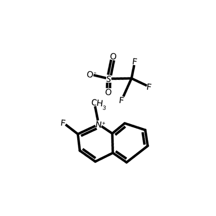 C[n+]1c(F)ccc2ccccc21.O=S(=O)([O-])C(F)(F)F